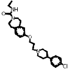 CCNC(=O)N1CCc2ccc(OCCCN3CCC(c4ccc(Cl)cc4)CC3)cc2CC1